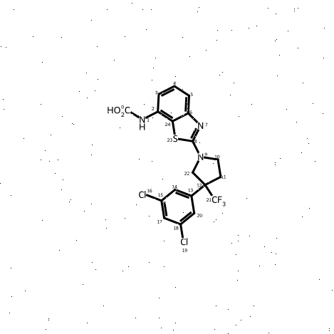 O=C(O)Nc1cccc2nc(N3CCC(c4cc(Cl)cc(Cl)c4)(C(F)(F)F)C3)sc12